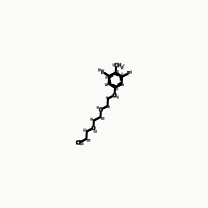 [CH2]c1c(F)cc(OCCOCCOCCCl)cc1F